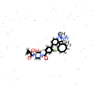 CC1NN(C)C2CCC(c3ccc(C(=O)N4CCN(C(=O)C5(O)CC5)CC4)cc3F)CC12C1CCCCCCC1